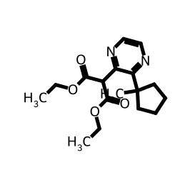 CCOC(=O)C(C(=O)OCC)c1nccnc1C1(C)CCCC1